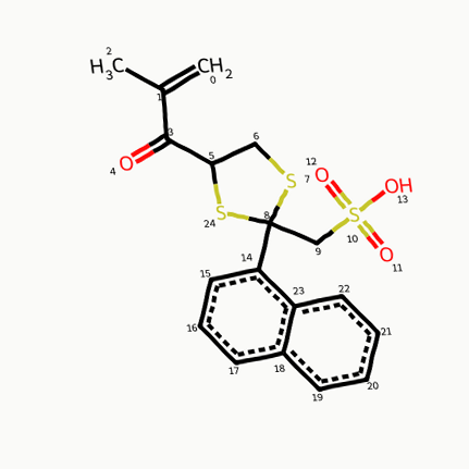 C=C(C)C(=O)C1CSC(CS(=O)(=O)O)(c2cccc3ccccc23)S1